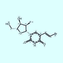 O=c1[nH]c(=O)n([C@@H]2O[C@H](CO)[C@@H](O)[C@H]2F)cc1/C=C/Br